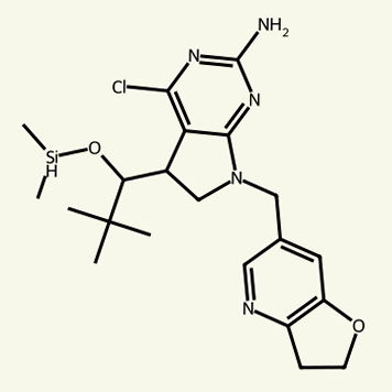 C[SiH](C)OC(C1CN(Cc2cnc3c(c2)OCC3)c2nc(N)nc(Cl)c21)C(C)(C)C